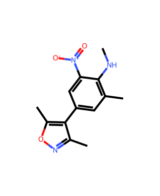 CNc1c(C)cc(-c2c(C)noc2C)cc1[N+](=O)[O-]